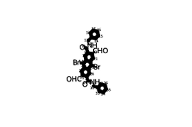 O=Cc1cc2c(Br)c3cc(C(=O)NCc4ccccc4)c(C=O)cc3c(Br)c2cc1C(=O)NCc1ccccc1